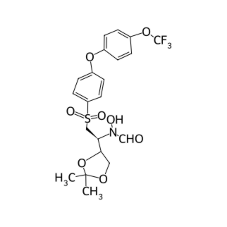 CC1(C)OCC([C@@H](CS(=O)(=O)c2ccc(Oc3ccc(OC(F)(F)F)cc3)cc2)N(O)C=O)O1